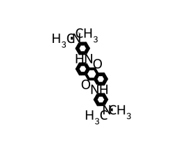 CN(C)c1ccc(Nc2cccc3c2C(=O)c2cccc(Nc4ccc(N(C)C)cc4)c2C3=O)cc1